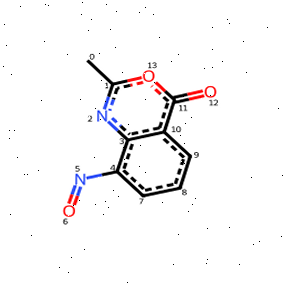 Cc1nc2c(N=O)cccc2c(=O)o1